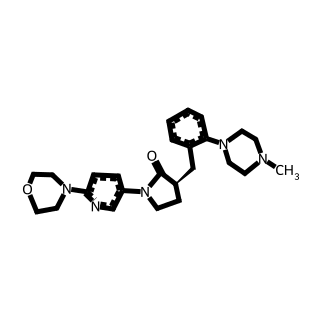 CN1CCN(c2ccccc2C[C@H]2CCN(c3ccc(N4CCOCC4)nc3)C2=O)CC1